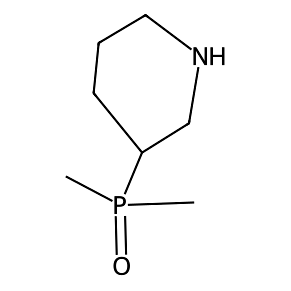 CP(C)(=O)C1CCCNC1